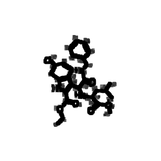 CCOC(=O)c1[nH]c2cc(Cl)ccc2c1C(N[C@@H](CC(C)C)C(=O)OC)C(=O)NCc1ccccc1